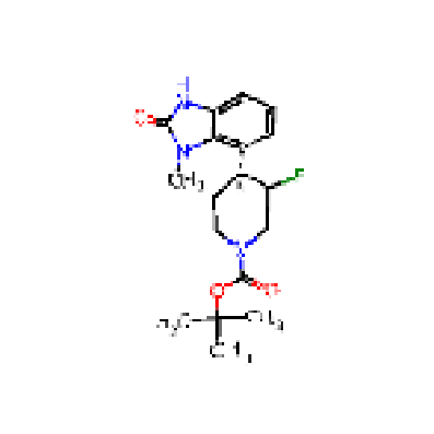 Cn1c(=O)[nH]c2cccc([C@H]3CCN(C(=O)OC(C)(C)C)CC3F)c21